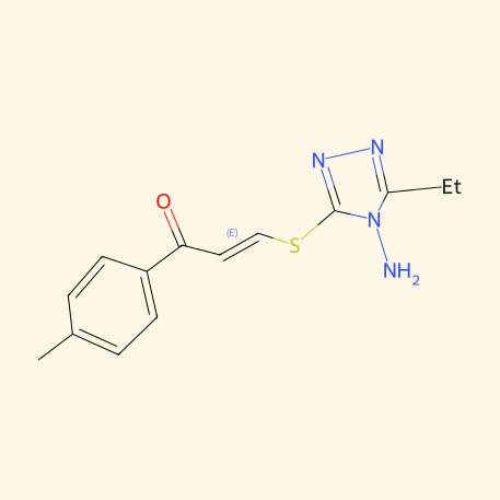 CCc1nnc(S/C=C/C(=O)c2ccc(C)cc2)n1N